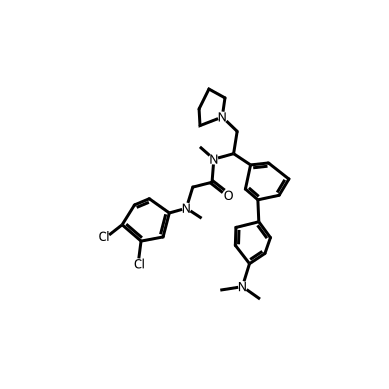 CN(C)c1ccc(-c2cccc(C(CN3CCCC3)N(C)C(=O)CN(C)c3ccc(Cl)c(Cl)c3)c2)cc1